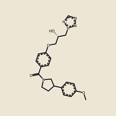 COc1ccc(C2CCN(C(=O)c3ccc(OC[C@H](O)Cn4ncnn4)cc3)C2)cc1